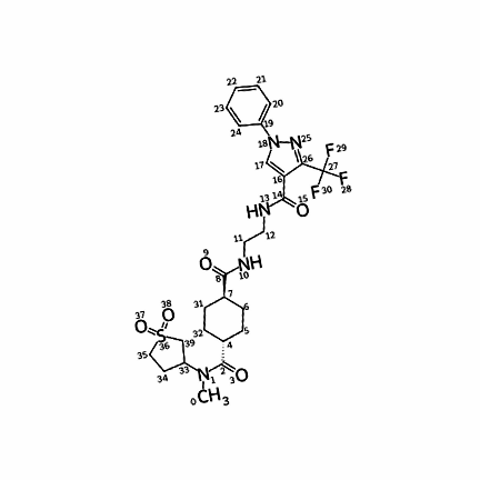 CN(C(=O)[C@H]1CC[C@H](C(=O)NCCNC(=O)c2cn(-c3ccccc3)nc2C(F)(F)F)CC1)C1CCS(=O)(=O)C1